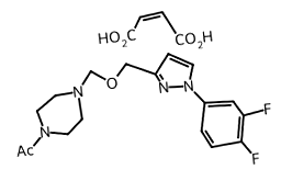 CC(=O)N1CCN(COCc2ccn(-c3ccc(F)c(F)c3)n2)CC1.O=C(O)/C=C\C(=O)O